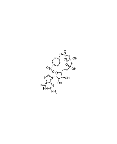 Nc1nc2c(ncn2[C@@H]2O[C@H](COP(=O)(O)OP(=O)(O)OP(=O)(O)Oc3ccc([N+](=O)[O-])cc3)[C@@H](O)[C@H]2O)c(=O)[nH]1